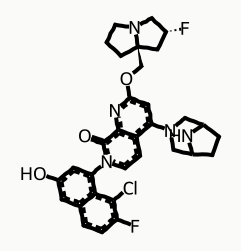 O=c1c2nc(OC[C@@]34CCCN3C[C@H](F)C4)cc(N3CC4CCC(C3)N4)c2ccn1-c1cc(O)cc2ccc(F)c(Cl)c12